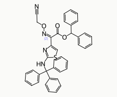 N#CCO/N=C(\C(=O)OC(c1ccccc1)c1ccccc1)c1csc(NC(c2ccccc2)(c2ccccc2)c2ccccc2)n1